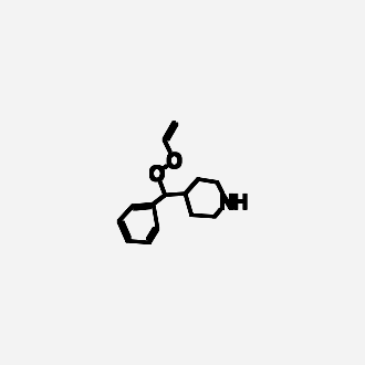 C=COOC(c1ccccc1)C1CCNCC1